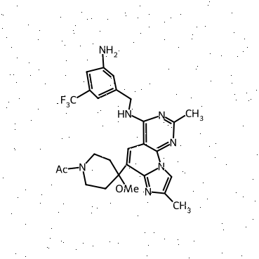 COC1(c2cc3c(NCc4cc(N)cc(C(F)(F)F)c4)nc(C)nc3n3cc(C)nc23)CCN(C(C)=O)CC1